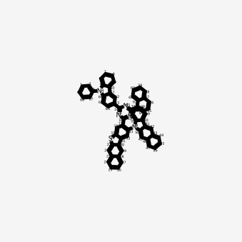 c1ccc(-n2c3ccccc3c3cc(-c4nc(-c5cc6sc7cc8ccccc8cc7c6cc5-n5c6ccccc6c6cc7ccccc7cc65)nc(-c5cccc6ccccc56)n4)ccc32)cc1